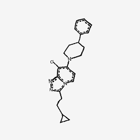 Clc1c(N2CCC(c3ccccc3)CC2)ccn2c(CCC3CC3)nnc12